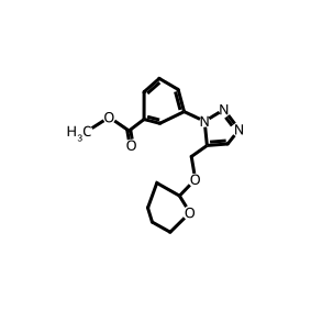 COC(=O)c1cccc(-n2nncc2COC2CCCCO2)c1